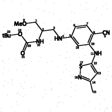 COCC(CNc1ccc(C#N)c(Nc2cc(C)ns2)c1)NC(=O)OC(C)(C)C